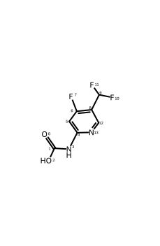 O=C(O)Nc1cc(F)c(C(F)F)cn1